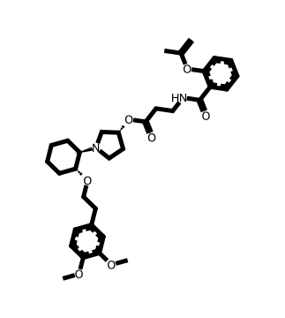 C=C(C)Oc1ccccc1C(=O)NCCC(=O)O[C@@H]1CCN([C@@H]2CCCC[C@H]2OCCc2ccc(OC)c(OC)c2)C1